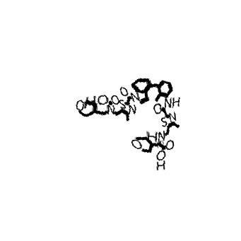 Cc1nc(C(=O)Nc2cccc(-c3cccc4c3ccn4C(=O)c3nc(C)c(CN(CC4CCOCC4)C(=O)O)s3)c2C)sc1CN[C@H](C(=O)O)C1CCOCC1